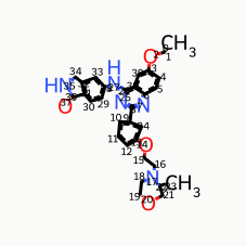 CCOc1ccc2nc(-c3cccc(OCCN4CCOCC4C)c3)nc(Nc3ccc4c(c3)CNC4=O)c2c1